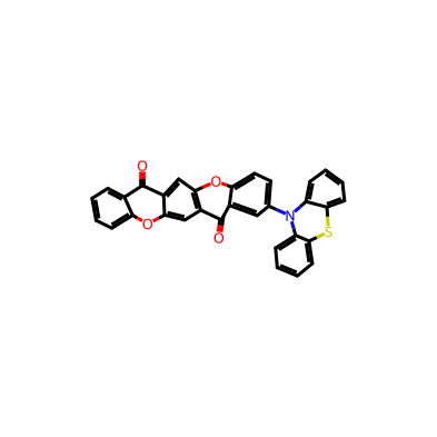 O=c1c2ccccc2oc2cc3c(=O)c4cc(N5c6ccccc6Sc6ccccc65)ccc4oc3cc12